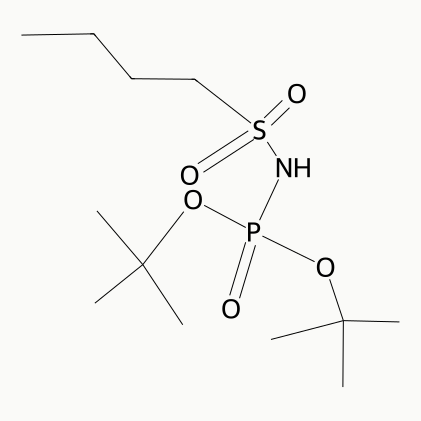 CCCCS(=O)(=O)NP(=O)(OC(C)(C)C)OC(C)(C)C